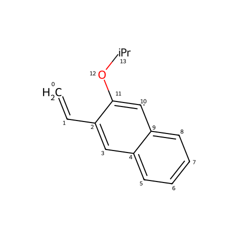 C=Cc1cc2ccccc2[c]c1OC(C)C